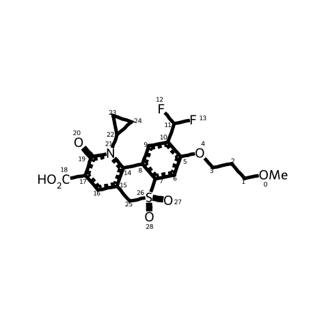 COCCCOc1cc2c(cc1C(F)F)-c1c(cc(C(=O)O)c(=O)n1C1CC1)CS2(=O)=O